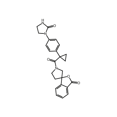 O=C1OC2(CCN(C(=O)C3(c4ccc(N5CCNC5=O)cc4)CC3)C2)c2ccccc21